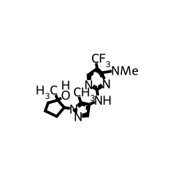 CNc1nc(Nc2cnn(C3CCCC3(C)O)c2C)ncc1C(F)(F)F